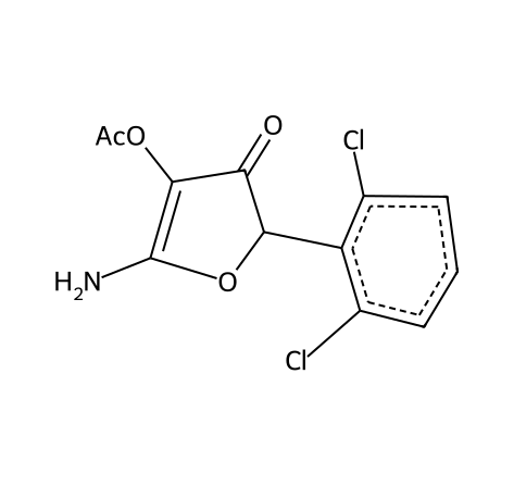 CC(=O)OC1=C(N)OC(c2c(Cl)cccc2Cl)C1=O